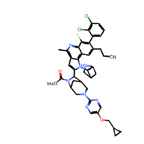 COC(=O)N1C2CC(CN(c3ncc(OCC4CC4)cn3)C2)C1c1cc2c(C)nc3c(F)c(-c4cccc(Cl)c4Cl)c(CCC#N)cc3c2n1C1C2CNC1C2